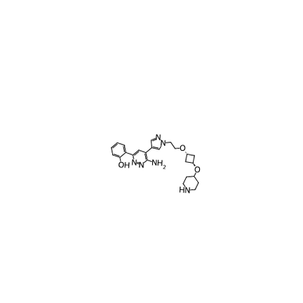 Nc1nnc(-c2ccccc2O)cc1-c1cnn(CCO[C@H]2C[C@H](OC3CCNCC3)C2)c1